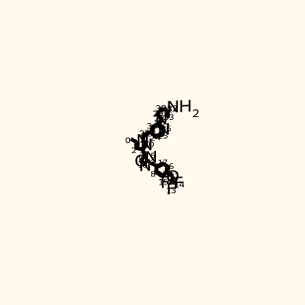 Cc1cc(-c2nc(-c3ccc(OC(F)(F)F)cc3)no2)nn1Cc1ccnc(N2CCC(N)C2)c1